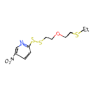 CCSCCOCCSSc1ccc([N+](=O)[O-])cn1